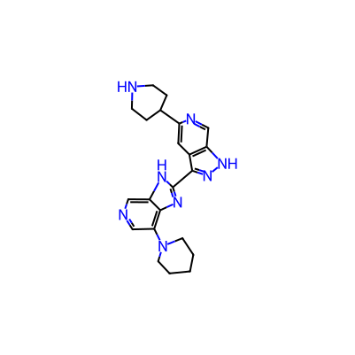 c1ncc2[nH]c(-c3n[nH]c4cnc(C5CCNCC5)cc34)nc2c1N1CCCCC1